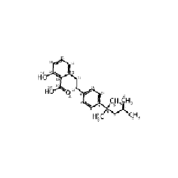 CC(C)CC(C)(C)c1ccc(CCc2cccc(O)c2C(=O)O)cc1